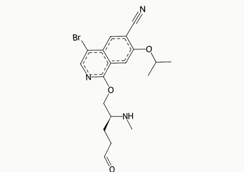 CN[C@@H](CCC=O)COc1ncc(Br)c2cc(C#N)c(OC(C)C)cc12